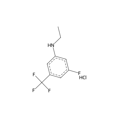 CCNc1cc(F)cc(C(F)(F)F)c1.Cl